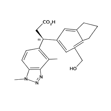 Cc1c([C@@H](CC(=O)O)c2cc(CO)c3c(c2)CCC3)ccc2c1nnn2C